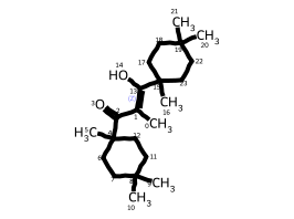 C/C(C(=O)C1(C)CCC(C)(C)CC1)=C(/O)C1(C)CCC(C)(C)CC1